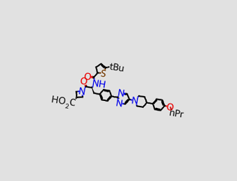 CCCOc1ccc(C2CCN(c3cnc(-c4ccc(C[C@H](NC(=O)C5CC=C(C(C)(C)C)S5)C(=O)N5CC(C(=O)O)C5)cc4)nc3)CC2)cc1